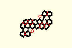 c1ccc(-c2cccc(-c3ccccc3)c2B2c3ccccc3Oc3c2c(-c2ccccc2)c2ccc4c5c(c(-c6ccccc6)c6ccc3c2c46)B(c2c(-c3ccccc3)cccc2-c2ccccc2)c2ccccc2O5)cc1